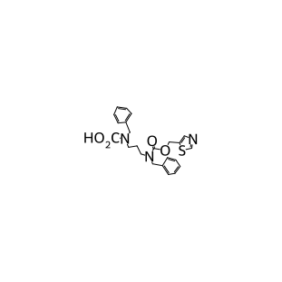 O=C(O)N(CCCN(Cc1ccccc1)C(=O)OCc1cncs1)Cc1ccccc1